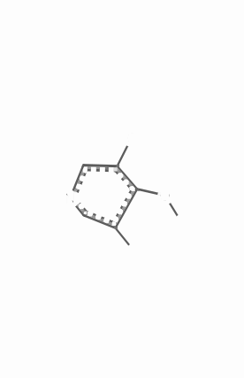 COc1c(C)cncc1Cl